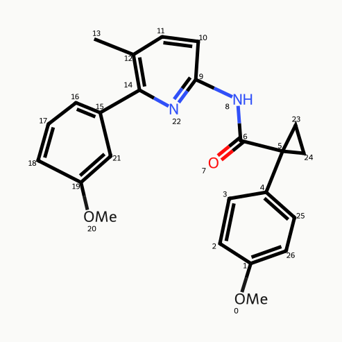 COc1ccc(C2(C(=O)Nc3ccc(C)c(-c4cccc(OC)c4)n3)CC2)cc1